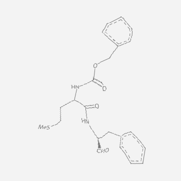 CSCCC(NC(=O)OCc1ccccc1)C(=O)N[C@H](C=O)Cc1ccccc1